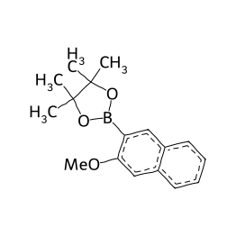 COc1cc2ccccc2cc1B1OC(C)(C)C(C)(C)O1